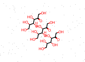 O=C(CO)[C@H](O)[C@@H](O)[C@H](O)CO.O=C(CO)[C@H](O)[C@@H](O)[C@H](O)CO.O=C(CO)[C@H](O)[C@@H](O)[C@H](O)CO